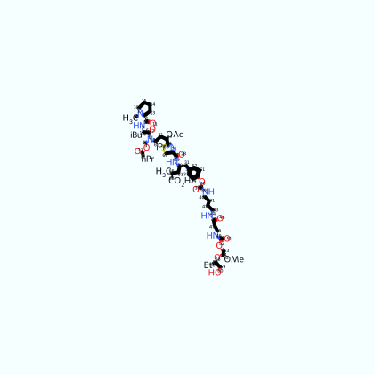 CCCC(=O)OCN(C(=O)[C@@H](NC(=O)[C@H]1CCCCN1C)[C@@H](C)CC)[C@H](C[C@@H](OC(C)=O)c1nc(C(=O)N[C@@H](Cc2ccc(OC(=O)NCCCCNC(=O)CCNC(=O)OCC(OC)OC(CC)CO)cc2)C[C@H](C)C(=O)O)cs1)C(C)C